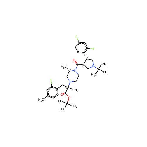 Cc1ccc(C[C@@](C)(C(=O)OC(C)(C)C)N2CCN(C(=O)[C@@H]3CN(C(C)(C)C)C[C@H]3c3ccc(F)cc3F)[C@@H](C)C2)c(F)c1